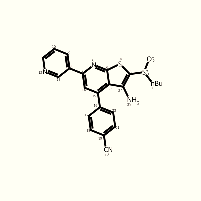 CCCC[S+]([O-])c1sc2nc(-c3cccnc3)cc(-c3ccc(C#N)cc3)c2c1N